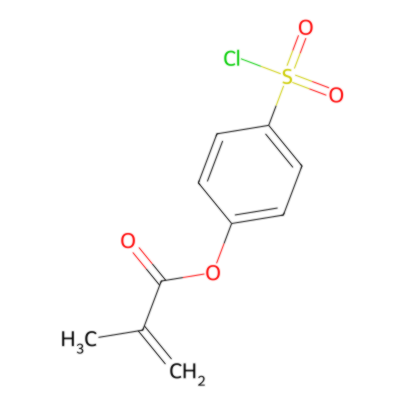 C=C(C)C(=O)Oc1ccc(S(=O)(=O)Cl)cc1